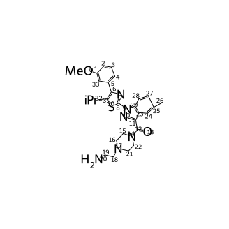 COc1cccc(-c2nc(-n3nc(C(=O)N4CCN(CCN)CC4)c4cc(C)ccc43)sc2C(C)C)c1